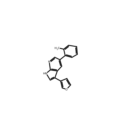 Cc1ccccc1-c1cnc2[nH]cc(-c3ccoc3)c2c1